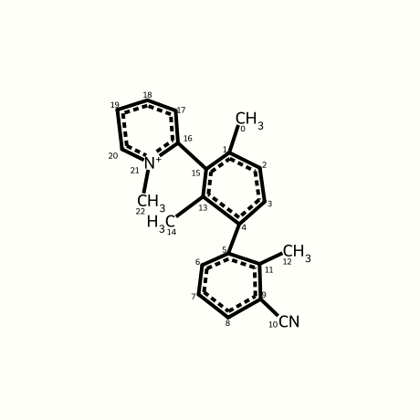 Cc1ccc(-c2cccc(C#N)c2C)c(C)c1-c1cccc[n+]1C